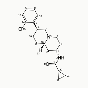 O=C(N[C@H]1CCN2C[C@H](c3ccccc3Cl)CC[C@H]2C1)C1CC1